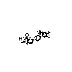 Cc1nc2ccc(N3CC[C@H](c4cc(F)c(F)cc4F)C(N)C3)nc2c(=O)[nH]1